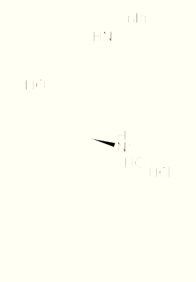 CCCNC[C@@H](O)[C@@H](N)Cc1ccccc1.Cl.Cl